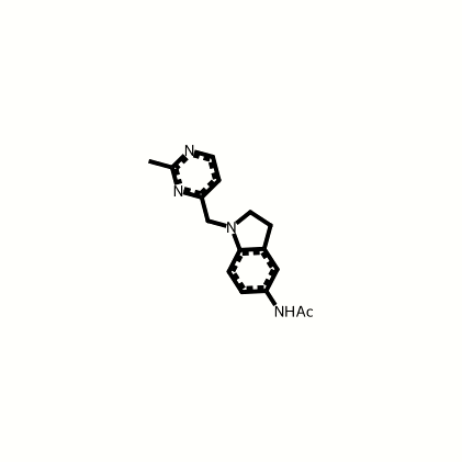 CC(=O)Nc1ccc2c(c1)CCN2Cc1ccnc(C)n1